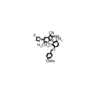 COc1ccc(COc2ccc(C)c(-n3c(N)c(C#N)c4cc(N5CC[C@H](F)C5)c(C)nc43)c2C)cc1